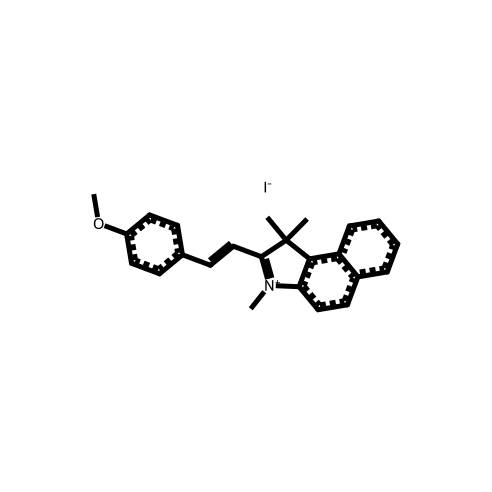 COc1ccc(C=CC2=[N+](C)c3ccc4ccccc4c3C2(C)C)cc1.[I-]